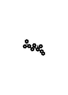 c1ccc(-n2c3ccccc3c3cc(-c4cccc5c4c4ccccc4n5-c4ccc(-c5ccc6ccccc6c5)c5c4sc4ccccc45)ccc32)cc1